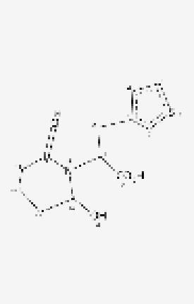 O=C(O)C(Cc1ccsc1)N1C(=O)CCCC1O